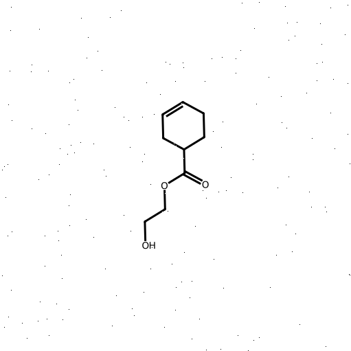 O=C(OCCO)C1CC=CCC1